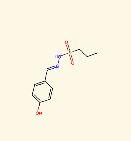 CCCS(=O)(=O)NN=Cc1ccc(O)cc1